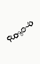 Cc1cccnc1Cc1ccc(OC(=O)N2CCN(CCc3ccccn3)CC2)cc1